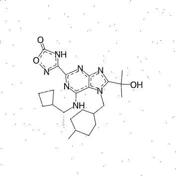 CC1CCC(Cn2c(C(C)(C)O)nc3nc(-c4noc(=O)[nH]4)nc(N[C@H](C)C4CCC4)c32)CC1